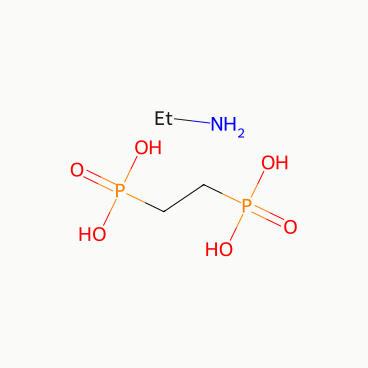 CCN.O=P(O)(O)CCP(=O)(O)O